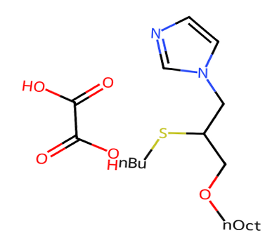 CCCCCCCCOCC(Cn1ccnc1)SCCCC.O=C(O)C(=O)O